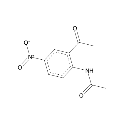 CC(=O)Nc1ccc([N+](=O)[O-])cc1C(C)=O